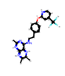 Cc1nc(NCCc2ccc(Oc3cc(C(F)(F)F)ccn3)cc2)c2nc(C)c(C)nc2n1